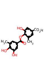 Cc1cc(C(=O)Oc2c(C)cc(C(=O)O)cc2O)cc(O)c1O